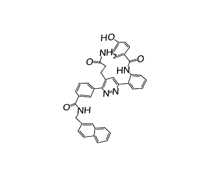 NC(=O)CCc1cc(-c2ccccc2NC(=O)c2ccc(O)cc2)nnc1-c1cccc(C(=O)NCc2ccc3ccccc3c2)c1